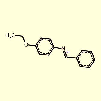 CCOc1ccc(/N=C/c2ccccc2)cc1